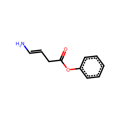 NC=CCC(=O)Oc1ccccc1